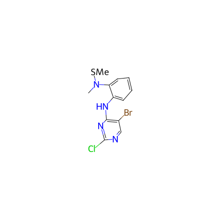 CSN(C)c1ccccc1Nc1nc(Cl)ncc1Br